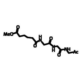 COC(=O)CCCCC(=O)NCC(=O)NCC(=O)NCC(C)=O